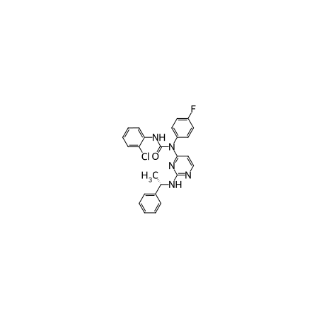 C[C@H](Nc1nccc(N(C(=O)Nc2ccccc2Cl)c2ccc(F)cc2)n1)c1ccccc1